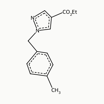 CCOC(=O)c1cnn(Cc2ccc(C)cc2)c1